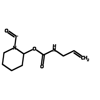 C=CCNC(=O)OC1CCCCN1[C]=O